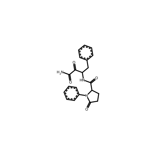 NC(=O)C(=O)C(Cc1ccccc1)NC(=O)C1CCC(=O)N1c1ccccc1